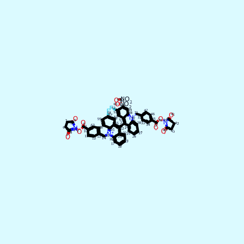 O=C(ON1C(=O)CCC1=O)c1ccc(C[n+]2c3ccccc3c(-c3c4ccccc4[n+](Cc4ccc(C(=O)ON5C(=O)CCC5=O)cc4)c4ccc(F)cc34)c3cc(F)ccc32)cc1.O=[N+]([O-])[O-].O=[N+]([O-])[O-]